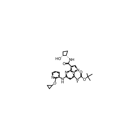 CN(C(=O)OC(C)(C)C)c1cc(Nc2cccnc2OC2CC2)nc2c(C(=O)N[C@H]3CC[C@H]3O)cnn12